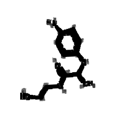 CC(Oc1ccc(N)cc1)C(=O)OCCO